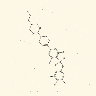 CCCC1COC(C2CC=C(c3cc(F)c(C(F)(F)Oc4cc(C)c(F)c(F)c4)c(F)c3)CC2)OC1